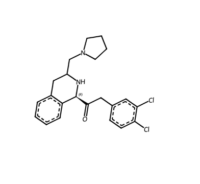 O=C(Cc1ccc(Cl)c(Cl)c1)[C@@H]1NC(CN2CCCC2)Cc2ccccc21